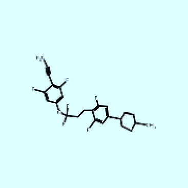 CC1CCC(c2cc(F)c(CCC(F)(F)Oc3cc(F)c(C#CC(F)(F)F)c(F)c3)c(F)c2)CC1